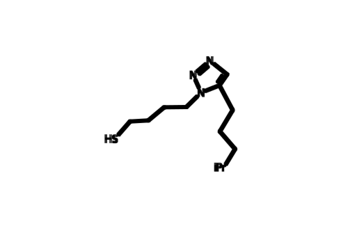 CC(C)CCCc1cnnn1CCCCS